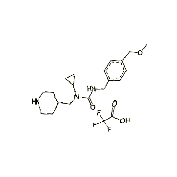 COCc1ccc(CNC(=O)N(CC2CCNCC2)C2CC2)cc1.O=C(O)C(F)(F)F